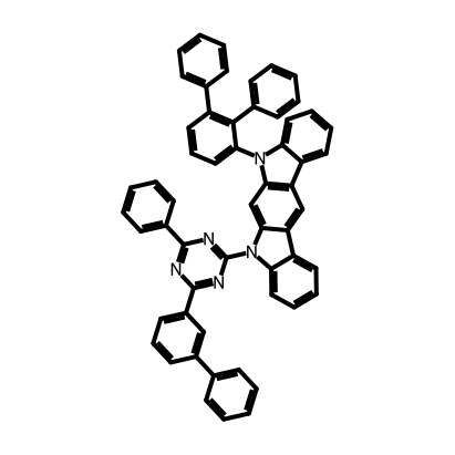 c1ccc(-c2cccc(-c3nc(-c4ccccc4)nc(-n4c5ccccc5c5cc6c7ccccc7n(-c7cccc(-c8ccccc8)c7-c7ccccc7)c6cc54)n3)c2)cc1